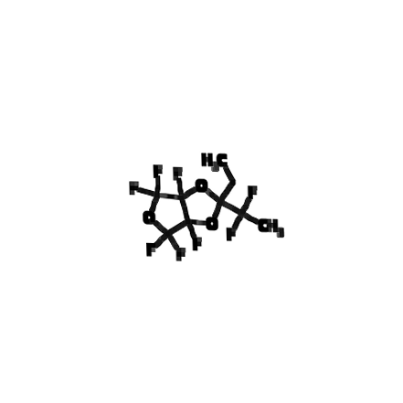 CCC1(C(C)(F)F)OC2(F)C(F)(F)OC(F)(F)C2(F)O1